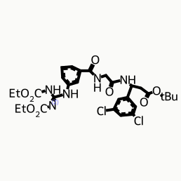 CCOC(=O)/N=C(\NC(=O)OCC)Nc1cccc(C(=O)NCC(=O)NC(CC(=O)OC(C)(C)C)c2cc(Cl)cc(Cl)c2)c1